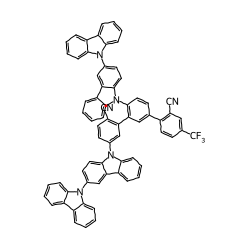 N#Cc1cc(C(F)(F)F)ccc1-c1ccc(-n2c3ccccc3c3cc(-n4c5ccccc5c5ccccc54)ccc32)c(-c2cc(-n3c4ccccc4c4cc(-n5c6ccccc6c6ccccc65)ccc43)ccc2C#N)c1